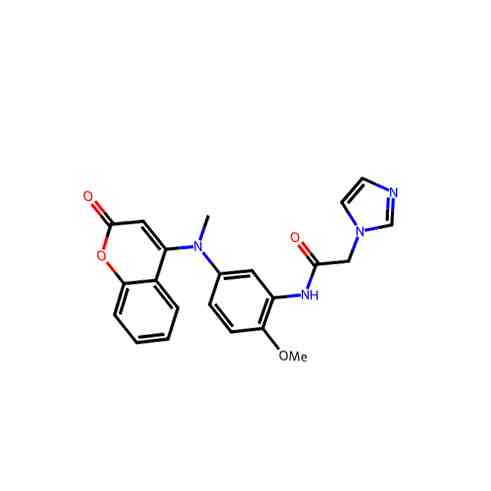 COc1ccc(N(C)c2cc(=O)oc3ccccc23)cc1NC(=O)Cn1ccnc1